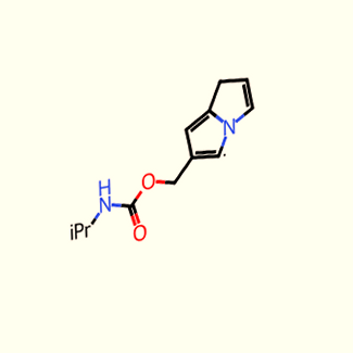 CC(C)NC(=O)OCc1[c]n2c(c1)CC=C2